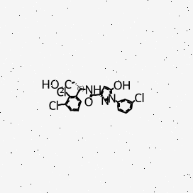 O=C(O)C[C@H](NC(=O)c1cc(O)n(-c2cccc(Cl)c2)n1)c1cccc(Cl)c1Cl